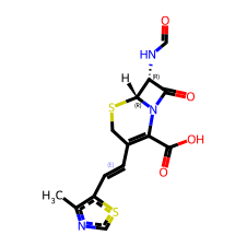 Cc1ncsc1/C=C/C1=C(C(=O)O)N2C(=O)[C@@H](NC=O)[C@H]2SC1